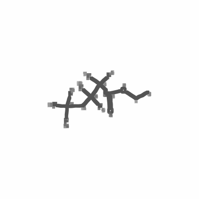 CC[O][Sn](=[O])[C](F)(F)C(F)(F)CC(F)(F)F